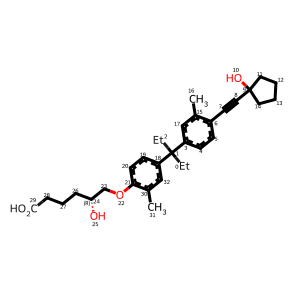 CCC(CC)(c1ccc(C#CC2(O)CCCC2)c(C)c1)c1ccc(OC[C@H](O)CCCC(=O)O)c(C)c1